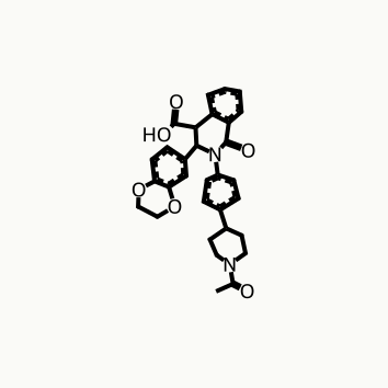 CC(=O)N1CCC(c2ccc(N3C(=O)c4ccccc4C(C(=O)O)C3c3ccc4c(c3)OCCO4)cc2)CC1